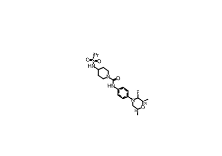 CC(C)S(=O)(=O)NC1CCN(C(=O)Nc2ccc(N3C[C@H](C)O[C@H](C)C3F)cc2)CC1